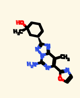 Cc1c(-c2ncco2)nc(N)n2nc([C@H]3CCC[C@@](C)(O)C3)nc12